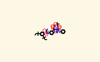 CCC(C)(C)c1ccc(ON(C(C)=O)c2cccc(C(=O)C(OC)(C(=O)Nc3ccccc3)N3C(=O)OC(C)(C)C3=O)c2)c(C(C)(C)CC)c1